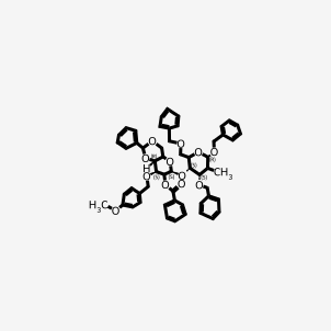 COc1ccc(CO[C@@H]2C(OC(=O)c3ccccc3)[C@H](O[C@@H]3C(COCc4ccccc4)O[C@@H](OCc4ccccc4)C(C)[C@@H]3OCc3ccccc3)OC3COC(c4ccccc4)O[C@H]32)cc1